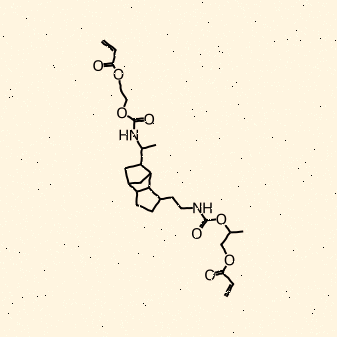 C=CC(=O)OCCOC(=O)NC(C)C1CC2CC1C1C(CCNC(=O)OC(C)COC(=O)C=C)CCC21